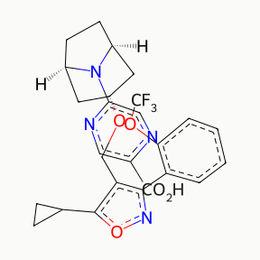 O=C(O)c1cnc(N2[C@@H]3CC[C@H]2C[C@H](OCc2c(-c4ccccc4OC(F)(F)F)noc2C2CC2)C3)cn1